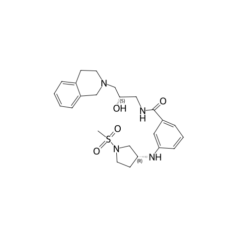 CS(=O)(=O)N1CC[C@@H](Nc2cccc(C(=O)NC[C@H](O)CN3CCc4ccccc4C3)c2)C1